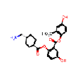 NC[C@H]1CC[C@H](C(=O)Oc2ccc(O)cc2C(=O)Oc2ccc(O)cc2C(=O)O)CC1